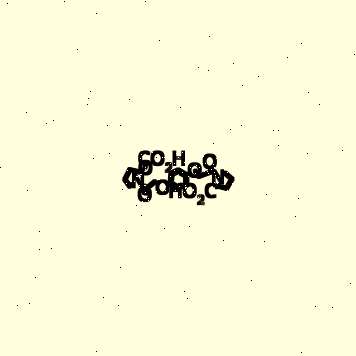 O=C(O)O[C@@H]1CCCN1C(=O)COc1ccc(OCC(=O)N2CCC[C@@H]2C(=O)O)cc1